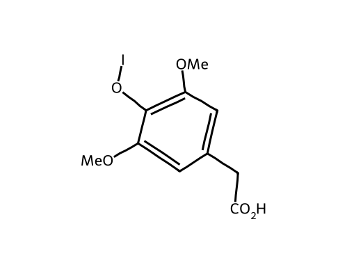 COc1cc(CC(=O)O)cc(OC)c1OI